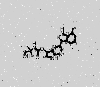 Cc1cccc2c(-c3cnc4[nH]cc(OC(=O)NC(C)(C)CO)c4n3)n[nH]c12